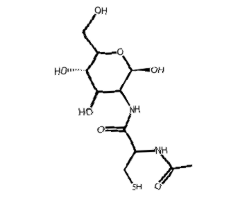 CC(=O)NC(CS)C(=O)NC1C(O)[C@H](O)C(CO)O[C@H]1O